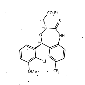 CCOC(=O)C[C@H]1O[C@H](c2cccc(OC)c2Cl)c2cc(C(F)(F)F)ccc2NC1=S